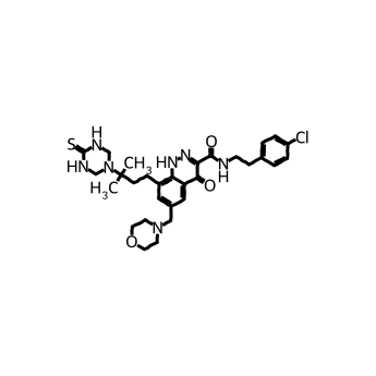 CC(C)(CCc1cc(CN2CCOCC2)cc2c(=O)c(C(=O)NCCc3ccc(Cl)cc3)n[nH]c12)N1CNC(=S)NC1